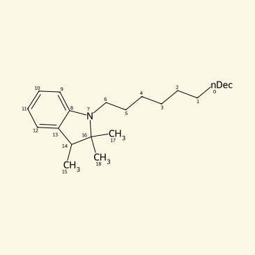 CCCCCCCCCCCCCCCCN1c2ccccc2C(C)C1(C)C